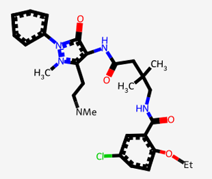 CCOc1ccc(Cl)cc1C(=O)NCC(C)(C)CC(=O)Nc1c(CCNC)n(C)n(-c2ccccc2)c1=O